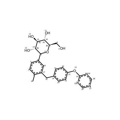 Cc1ccc(C2O[C@H](CO)[C@@H](O)[C@H](O)[C@H]2O)cc1Cc1ccc(Oc2ncncn2)cc1